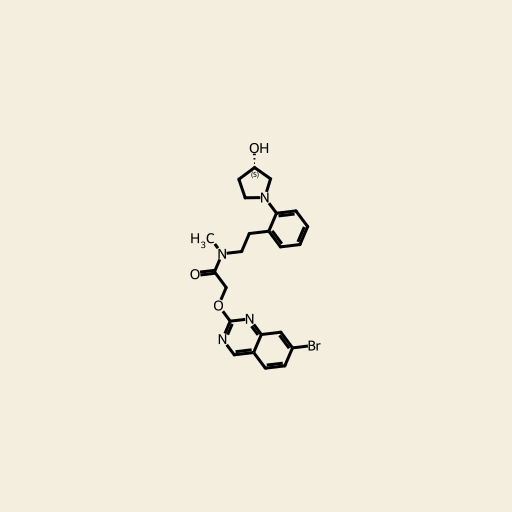 CN(CCc1ccccc1N1CC[C@H](O)C1)C(=O)COc1ncc2ccc(Br)cc2n1